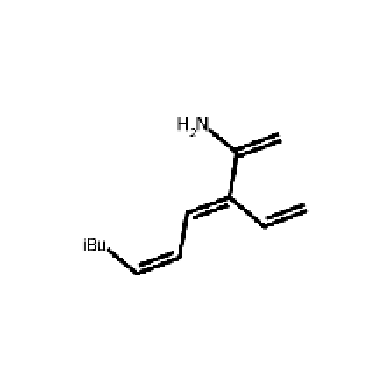 C=C/C(=C\C=C/C(C)CC)C(=C)N